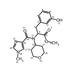 COC(=O)C(Cc1cccc(O)c1)N(C(=O)c1cn(C)cn1)C1CCOCC1